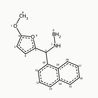 BNC(c1ccc(OC)o1)c1cccc2ccccc12